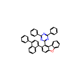 c1ccc(-c2nc(-c3ccccc3)nc(-c3c(-c4ccc(-c5ccccc5)c5ccccc45)ccc4oc5ccccc5c34)n2)cc1